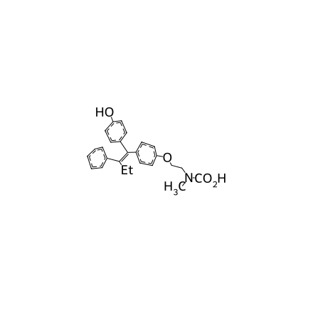 CCC(=C(c1ccc(O)cc1)c1ccc(OCCN(C)C(=O)O)cc1)c1ccccc1